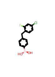 OB(O)c1ccc(Cc2ccc(Cl)cc2F)cc1